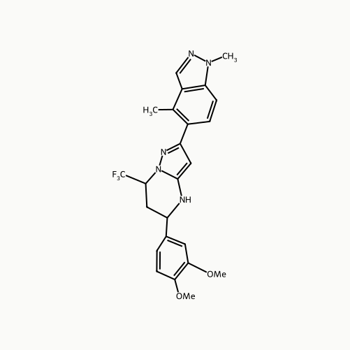 COc1ccc(C2CC(C(F)(F)F)n3nc(-c4ccc5c(cnn5C)c4C)cc3N2)cc1OC